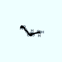 Cc1cccc(C(=O)NCCOCCOCCNC(=O)c2cccc(NC(=O)CCCCCCC(=O)NO)c2)c1